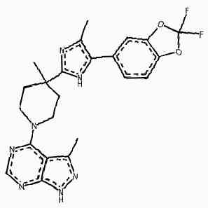 Cc1nc(C2(C)CCN(c3ncnc4[nH]nc(C)c34)CC2)[nH]c1-c1ccc2c(c1)OC(F)(F)O2